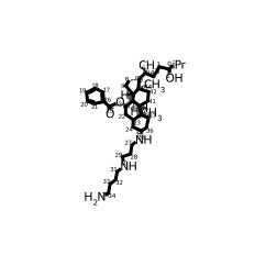 CC(C)C(O)CC[C@@H](C)[C@H]1CC[C@H]2[C@@H]3[C@H](OC(=O)c4ccccc4)CC4C[C@@H](NCCCNCCCCN)CC[C@]4(C)[C@H]3CC[C@]12C